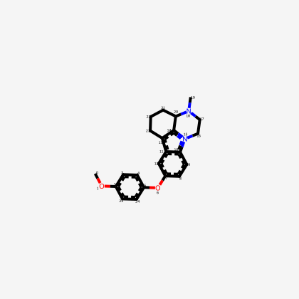 COc1ccc(Oc2ccc3c(c2)c2c4n3CCN(C)C4CCC2)cc1